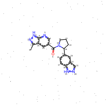 Cc1n[nH]c2ncc(C(=O)N3CCCC3c3ccc4[nH]ncc4c3)cc12